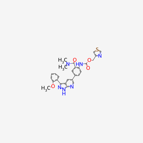 COc1ccccc1-c1n[nH]c2ncc(-c3ccc(NC(=O)OCc4cscn4)c(C(=O)N(C)C)c3)cc12